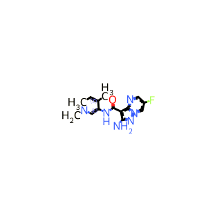 C=N/C=C(NC(=O)c1c(N)nn2cc(F)cnc12)\C(C)=C/C